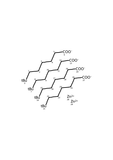 CC(C)(C)CCCCCC(=O)[O-].CC(C)(C)CCCCCC(=O)[O-].CC(C)(C)CCCCCC(=O)[O-].CC(C)(C)CCCCCC(=O)[O-].[Zn+2].[Zn+2]